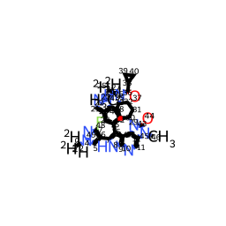 [2H]C([2H])([2H])n1cc(-c2[nH]c3ncc4c(c3c2-c2ccc3c(cnn3C([2H])([2H])[2H])c2)n(C2CCC(C)(NC(=O)C3CC3)CC2)c(=O)n4C)c(F)n1